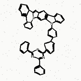 c1ccc(-c2nc(-c3ccccc3)nc(-c3cccc(-c4ccc(-n5c6ccccc6c6cc7cc8c9ccccc9c9ccccc9n8c7cc65)cc4)c3)n2)cc1